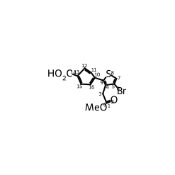 COC(=O)Cc1c(Br)csc1-c1ccc(C(=O)O)cc1